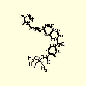 CC(C)(C)OC(=O)c1ccc(C(=O)N2C=Cc3cnc(C#CCn4ccnn4)cc3C2)cc1